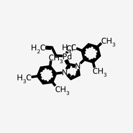 C=C[CH2][Pd]([Cl])=[c]1n(-c2c(C)cc(C)cc2C)ccn1-c1c(C)cc(C)cc1C